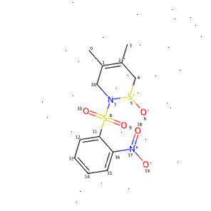 CC1=C(C)C[S+]([O-])N(S(=O)(=O)c2ccccc2[N+](=O)[O-])C1